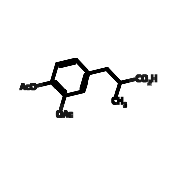 CC(=O)Oc1ccc(CC(C)C(=O)O)cc1OC(C)=O